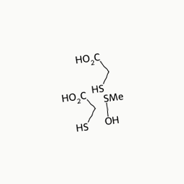 CSO.O=C(O)CS.O=C(O)CS